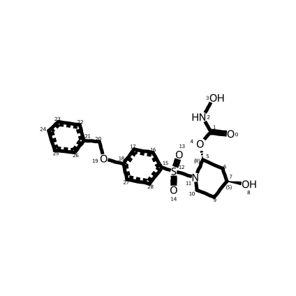 O=C(NO)O[C@@H]1C[C@@H](O)CCN1S(=O)(=O)c1ccc(OCc2ccccc2)cc1